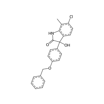 Cc1c(Cl)ccc2c1NC(=O)C2(O)c1ccc(OCc2ccccc2)cc1